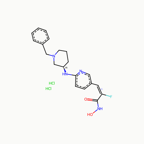 Cl.Cl.O=C(NO)/C(F)=C\c1ccc(N[C@@H]2CCCN(Cc3ccccc3)C2)nc1